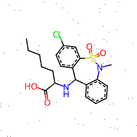 CCCCCC(NC1c2ccccc2N(C)S(=O)(=O)c2cc(Cl)ccc21)C(=O)O